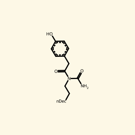 CCCCCCCCCCCCN(C(N)=O)C(=O)Cc1ccc(O)cc1